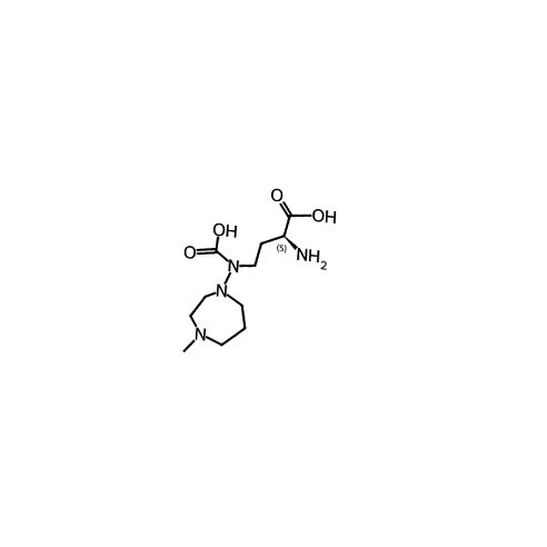 CN1CCCN(N(CC[C@H](N)C(=O)O)C(=O)O)CC1